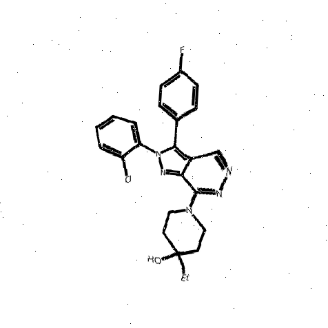 CCC1(O)CCN(c2nncc3c(-c4ccc(F)cc4)n(-c4ccccc4Cl)nc23)CC1